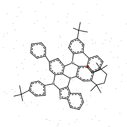 CC(C)(C)c1ccc(N2c3cc(-c4ccccc4)cc4c3B(c3cc5c(cc3N4c3ccc(C(C)(C)C)cc3-c3ccccc3)C(C)(C)CCC5(C)C)c3c2sc2ccccc32)cc1